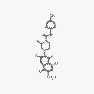 CCn1cc(C(=O)O)c(=O)c2cc(F)c(N3CCN(C(=S)Nc4ccc(C(F)(F)F)cc4)C(C)C3)c(F)c21